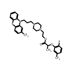 CC(Oc1cc(C(F)(F)F)ccc1F)C(=O)OCCN1CCN(CCCN2c3ccccc3Sc3ccc(C(F)(F)F)cc32)CC1